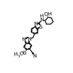 COc1cc2ncn(Cc3ccc4nc(N[C@@H]5CCCC[C@H]5O)sc4c3)c2cc1C#N